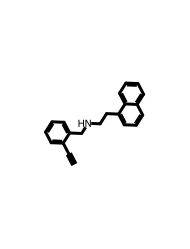 C#Cc1ccccc1CNCCc1cccc2ccccc12